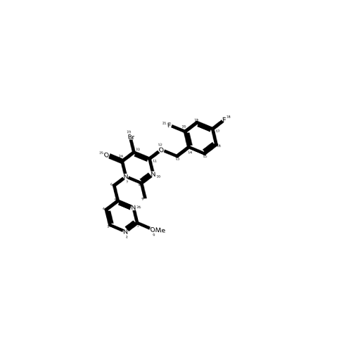 COc1nccc(Cn2c(C)nc(OCc3ccc(F)cc3F)c(Br)c2=O)n1